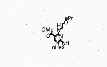 CCCCCCNc1ncc(C(=O)OC)c(NCCOCCC)n1